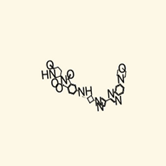 O=C1CCC(N2C(=O)c3ccc(NC[C@H]4C[C@@H](n5cc(-c6cnc7ccc(N8CCOCC8)cc7n6)cn5)C4)cc3C2=O)C(=O)N1